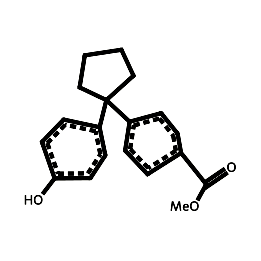 COC(=O)c1ccc(C2(c3ccc(O)cc3)CCCC2)cc1